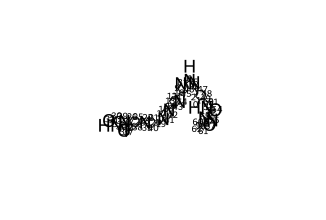 Cc1cc(-c2n[nH]c3ncc(-c4ccc(N5CCN(CC6CCN(c7ccc(N8CCC(=O)NC8=O)c(F)c7)CC6)CC5)cn4)cc23)ccc1C(C)NC(=O)c1noc(C(C)(C)C)n1